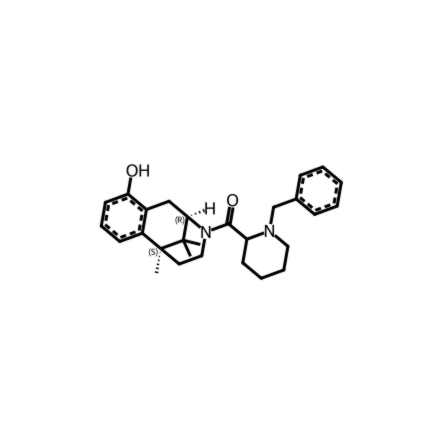 CC1(C)[C@H]2Cc3c(O)cccc3[C@]1(C)CCN2C(=O)C1CCCCN1Cc1ccccc1